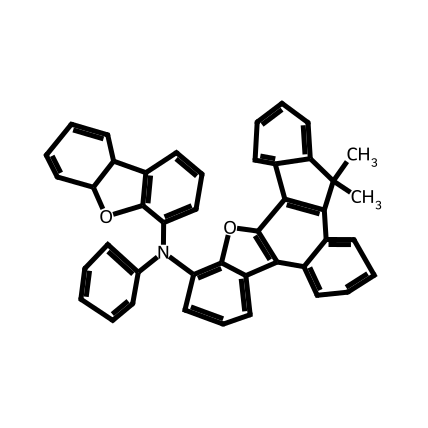 CC1(C)c2ccccc2-c2c1c1ccccc1c1c2oc2c(N(c3ccccc3)c3cccc4c3OC3C=CC=CC43)cccc21